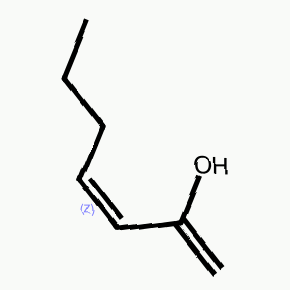 C=C(O)/C=C\CCC